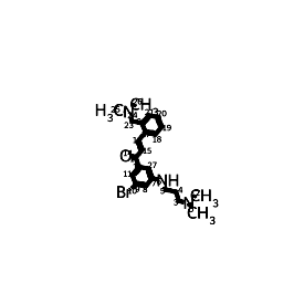 CN(C)CCCNc1cc(Br)cc(C(=O)C=Cc2ccccc2CN(C)C)c1